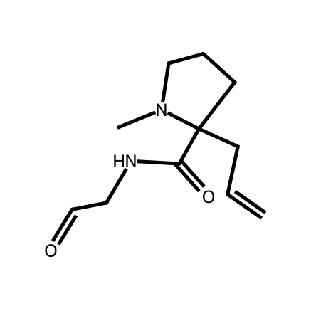 C=CCC1(C(=O)NCC=O)CCCN1C